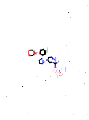 CC(C)S(=O)(=O)NC(=O)c1cnn2ccc(N3CCC[C@@H]3c3cc(F)ccc3OC3(C)CCOCC3)cc12